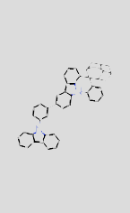 c1cc(-c2ccc3c(c2)c2cccc4c2n3-c2ccccc2C42C3CC4CC(C3)CC2C4)cc(-n2c3ccccc3c3ccccc32)c1